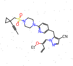 C=C/C(=C\n1ncc(C#N)c1Cc1ccc(N2CCN(S(=O)(=O)CC3(C#CC)CC3)CC2)nc1)OCC